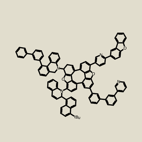 CC(C)(C)c1cccc2c(C3C=Cc4ccccc4N3c3ccc4c5cc(-c6cccc(-c7cccc(-c8cccnc8)c7)c6)cc6oc7c(-c8ccc(-c9ccc%10oc%11ccccc%11c%10c9)nc8)ccc(c8c9c(oc3c94)C(N3Cc4cccc(-c9cccc(-c%10ccccc%10)c9)c4-c4ccccc43)CC=8)c7c65)cccc12